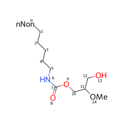 CCCCCCCCCCCCCCNC(=O)OCC(CO)OC